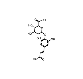 O=C(O)C=Cc1ccc(OC2O[C@H](C(=O)O)[C@@H](O)[C@H](O)[C@H]2O)c(O)c1